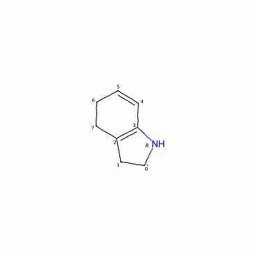 [CH]1CC2=C(C=CCC2)N1